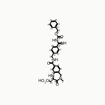 CN1Cc2ccc(C(=O)NCc3ccc(C(=N)NC(=O)OCc4ccccc4)cc3)cc2N[C@H](CC(=O)O)C1=O